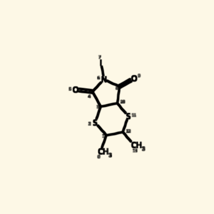 CC1SC2C(=O)N(I)C(=O)C2SC1C